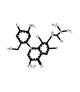 CCC(Nc1c(F)cc2c(=O)c(C(=O)O)cn(-c3cc(N)c(F)cc3CO)c2c1Cl)N(C)C